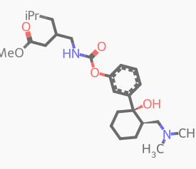 COC(=O)CC(CNC(=O)Oc1cccc([C@@]2(O)CCCC[C@@H]2CN(C)C)c1)CC(C)C